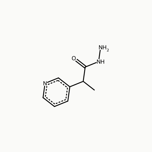 CC(C(=O)NN)c1cccnc1